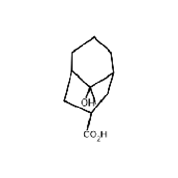 CC1(O)C2CCCC1CC(C(=O)O)C2